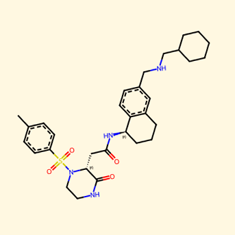 Cc1ccc(S(=O)(=O)N2CCNC(=O)[C@H]2CC(=O)N[C@@H]2CCCc3cc(CNCC4CCCCC4)ccc32)cc1